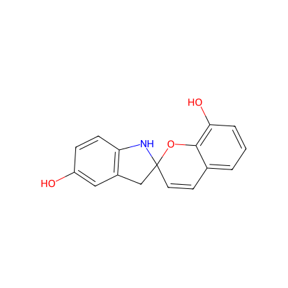 Oc1ccc2c(c1)CC1(C=Cc3cccc(O)c3O1)N2